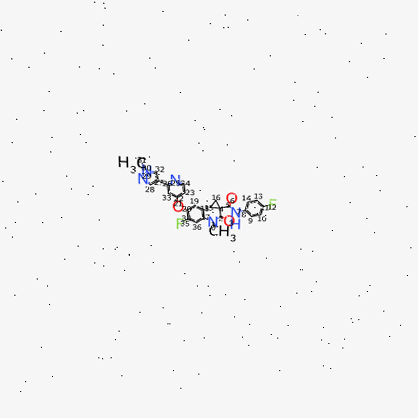 CN(C(=O)C1(C(=O)Nc2ccc(F)cc2)CC1)c1ccc(Oc2ccnc(-c3cnn(C)c3)c2)c(F)c1